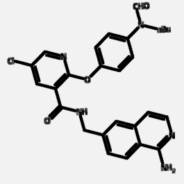 CCCCN(C=O)c1ccc(Oc2ncc(Cl)cc2C(=O)NCc2ccc3c(N)nccc3c2)cc1